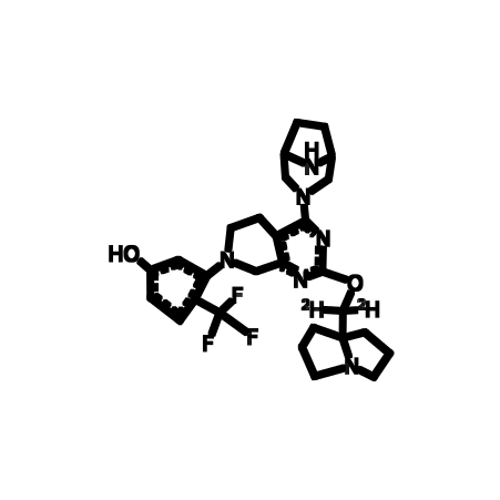 [2H]C([2H])(Oc1nc2c(c(N3CC4CCC(C3)N4)n1)CCN(c1cc(O)ccc1C(F)(F)F)C2)C12CCCN1CCC2